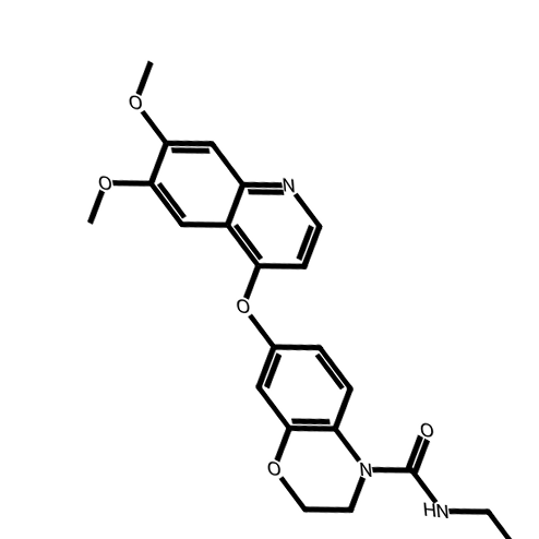 CCNC(=O)N1CCOc2cc(Oc3ccnc4cc(OC)c(OC)cc34)ccc21